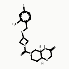 O=C1CO[C@H]2CCN(C(=O)N3CC(OCc4ccc(F)cc4C(F)(F)F)C3)C[C@H]2N1